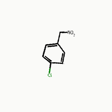 O=[N+]([O-])Cc1c[c]c(Cl)cc1